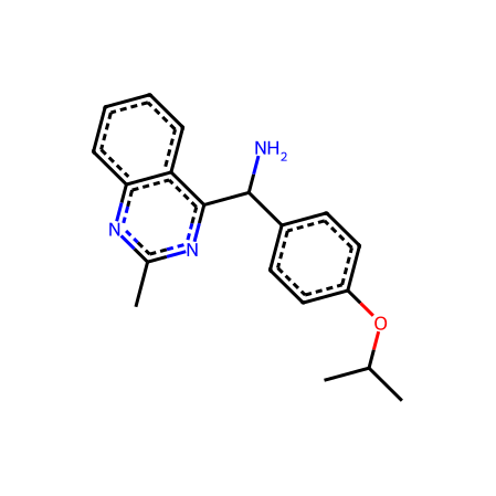 Cc1nc(C(N)c2ccc(OC(C)C)cc2)c2ccccc2n1